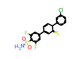 NS(=O)(=O)c1c(F)cc(C2=CC(=S)C(c3cccc(Cl)c3)C=C2)cc1F